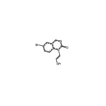 CCCC=Cn1c(=O)ncc2cc(Br)ccc21